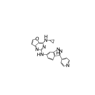 c1cc(-c2n[nH]c3cc(Nc4nc(NC5CC5)c5occc5n4)ccc23)ccn1